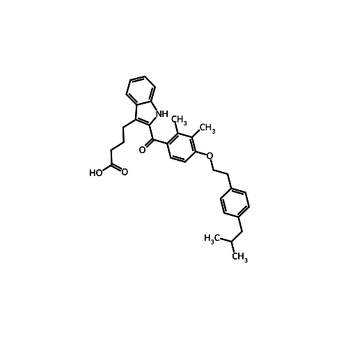 Cc1c(OCCc2ccc(CC(C)C)cc2)ccc(C(=O)c2[nH]c3ccccc3c2CCCC(=O)O)c1C